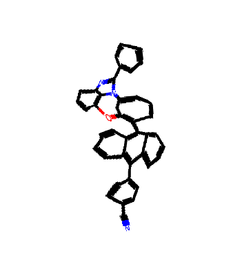 N#Cc1ccc(-c2c3ccccc3c(-c3cccc4c3Oc3cccc5nc(-c6ccccc6)n-4c35)c3ccccc23)cc1